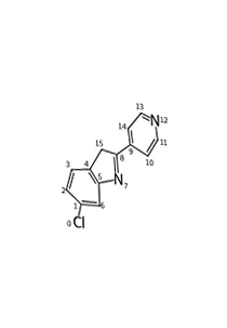 Clc1ccc2c(c1)N=C(c1ccncc1)C2